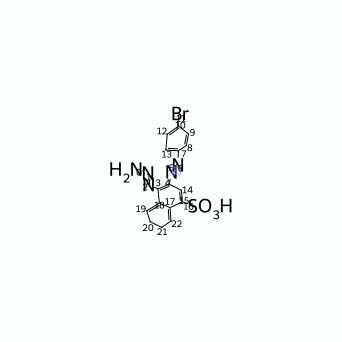 NN=Nc1c(/N=N/c2ccc(Br)cc2)cc(S(=O)(=O)O)c2c1=CCCC=2